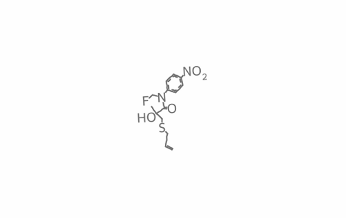 C=CCSCC(C)(O)C(=O)N(CF)c1ccc([N+](=O)[O-])cc1